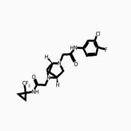 O=C(CN1C[C@H]2C[C@@H]1CN2CC(=O)NC1(C(F)(F)F)CC1)Nc1ccc(F)c(Cl)c1